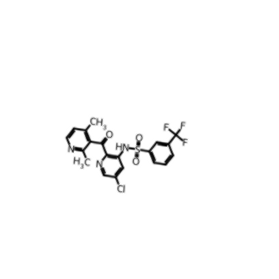 Cc1ccnc(C)c1C(=O)c1ncc(Cl)cc1NS(=O)(=O)c1cccc(C(F)(F)F)c1